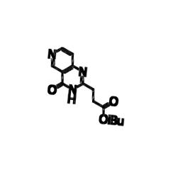 CC(C)COC(=O)CCc1nc2ccncc2c(=O)[nH]1